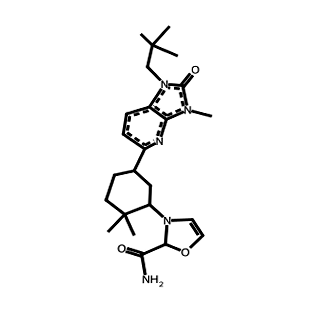 Cn1c(=O)n(CC(C)(C)C)c2ccc(C3CCC(C)(C)C(N4C=COC4C(N)=O)C3)nc21